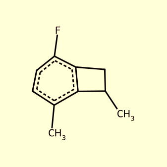 Cc1ccc(F)c2c1C(C)C2